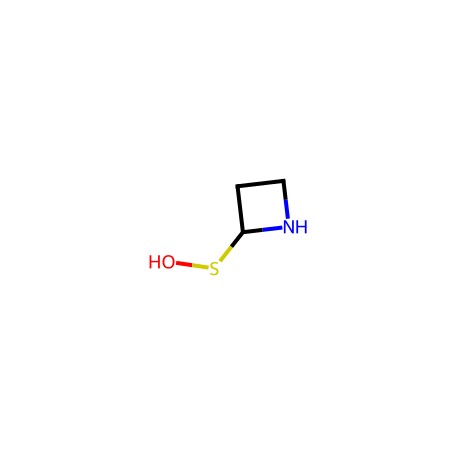 OSC1CCN1